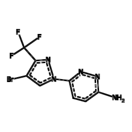 Nc1ccc(-n2cc(Br)c(C(F)(F)F)n2)nn1